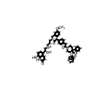 COc1cccc(CN(CCCNC[C@H](O)c2ccc(O)c3[nH]c(=O)ccc23)C(=O)Cc2ccc(CC(=O)N3CCC(C(=O)O[C@H]4CN5CCC4CC5)(c4ccccc4)CC3)cc2)c1